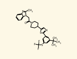 Cc1nc2ccccc2n1CC(=O)N1CCC(c2cnc(-c3cc(SC(F)(F)F)cc(C(C)(C)C)c3)s2)CC1